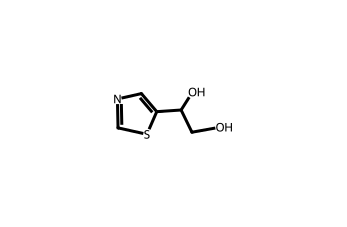 OCC(O)c1cncs1